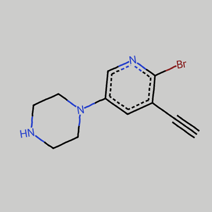 C#Cc1cc(N2CCNCC2)cnc1Br